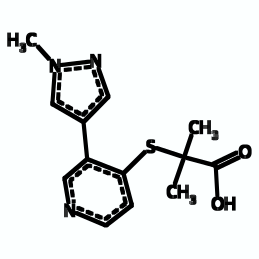 Cn1cc(-c2cnccc2SC(C)(C)C(=O)O)cn1